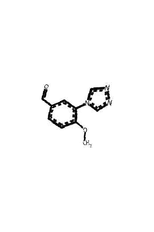 COc1ccc(C=O)cc1-n1cnnc1